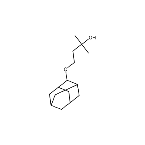 CC(C)(O)CCOC1C2CC3CC(C2)CC1C3